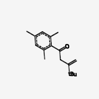 C=C(CC(=O)c1c(C)cc(C)cc1C)C(C)(C)C